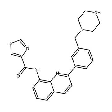 O=C(Nc1cccc2ccc(-c3cccc(CN4CCNCC4)c3)nc12)c1cscn1